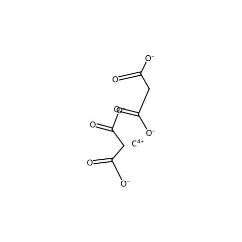 O=C([O-])CC(=O)[O-].O=C([O-])CC(=O)[O-].[C+4]